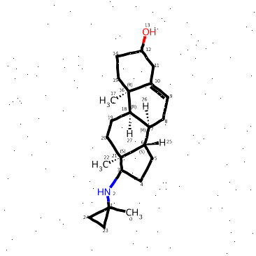 CC1(NC2CC[C@H]3[C@@H]4CC=C5CC(O)CC[C@]5(C)[C@@H]4CC[C@]23C)CC1